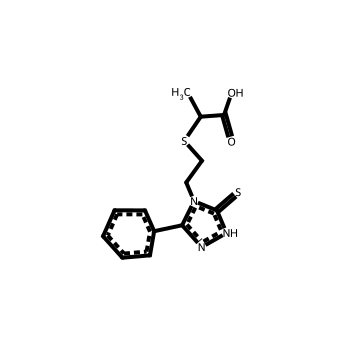 CC(SCCn1c(-c2ccccc2)n[nH]c1=S)C(=O)O